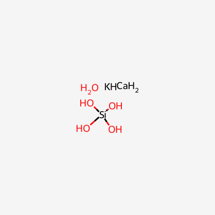 O.O[Si](O)(O)O.[CaH2].[KH]